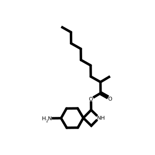 CCCCCCCC(C)C(=O)OC1NCC12CCC(N)CC2